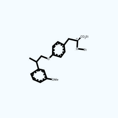 CCOC(=O)[C@H](Cc1ccc(OCC(C)c2cccc(OC)c2)cc1)OCC